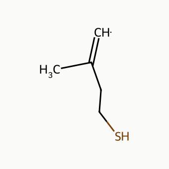 [CH]=C(C)CCS